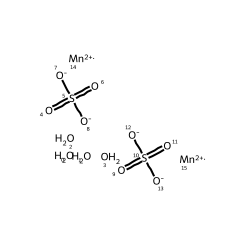 O.O.O.O.O=S(=O)([O-])[O-].O=S(=O)([O-])[O-].[Mn+2].[Mn+2]